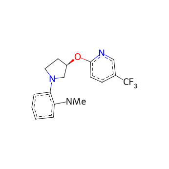 CNc1ccccc1N1CC[C@@H](Oc2ccc(C(F)(F)F)cn2)C1